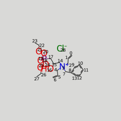 C=CC[N+](CC=C)(Cc1ccccc1)CC(O)CP(=O)(OOCC)OOCC.[Cl-]